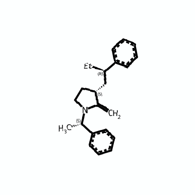 C=C1[C@@H](C[C@@H](CC)c2ccccc2)CCN1[C@@H](C)c1ccccc1